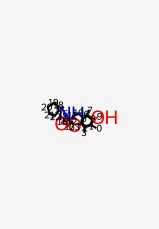 Cc1c(C)c2c(c(C)c1O)CCC(C)(C(=O)NC1CCCCC1)O2